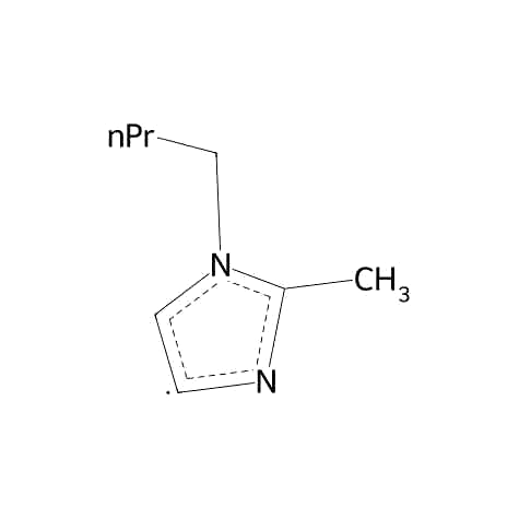 CCCCn1c[c]nc1C